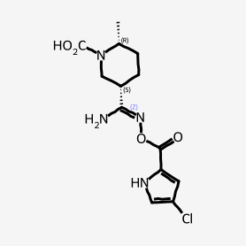 C[C@@H]1CC[C@H](/C(N)=N/OC(=O)c2cc(Cl)c[nH]2)CN1C(=O)O